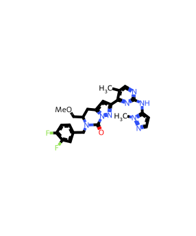 COCC1Cc2cc(-c3nc(Nc4ccnn4C)ncc3C)nn2C(=O)N1Cc1ccc(F)c(F)c1